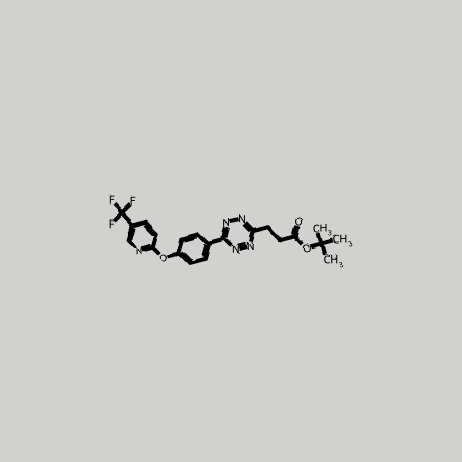 CC(C)(C)OC(=O)CCc1nnc(-c2ccc(Oc3ccc(C(F)(F)F)cn3)cc2)nn1